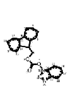 O=C(OCC1c2ccccc2-c2ccccc21)On1nnc2ccccc21